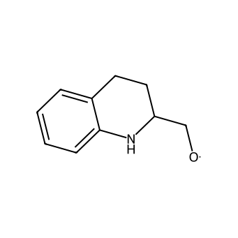 [O]CC1CCc2ccccc2N1